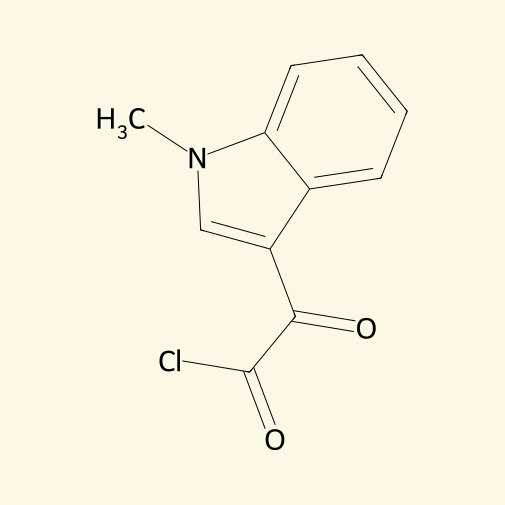 Cn1cc(C(=O)C(=O)Cl)c2ccccc21